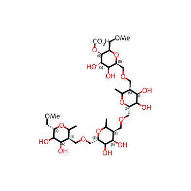 COCC1O[C@@H](COC[C@@H]2C(C)O[C@@H](COC[C@@H]3C(C)O[C@@H](COC[C@@H]4C(C)O[C@@H](COC)C(O)[C@@H]4O)C(O)[C@@H]3O)C(O)[C@@H]2O)C(O)[C@H](O)[C@@H]1OC(=O)O